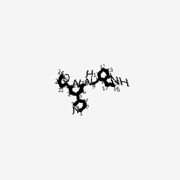 c1cncc(-c2cc(NCc3cccc4[nH]ccc34)nc(-c3ccco3)c2)c1